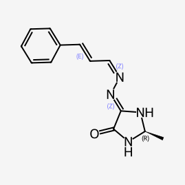 C[C@H]1NC(=O)/C(=N/N=C\C=C\c2ccccc2)N1